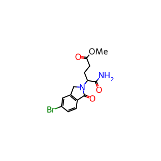 COC(=O)CCC(C(N)=O)N1Cc2cc(Br)ccc2C1=O